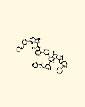 O=C(Nc1cncc(-c2cc(C3CCCN(c4nccc5[nH]c(-c6n[nH]c7ccc(-c8cncc(CN9CCCC9)c8)nc67)cc45)C3)c3[nH]nc(-c4cc5c(N6CCCCC6)nccc5[nH]4)c3n2)c1)c1ccccc1